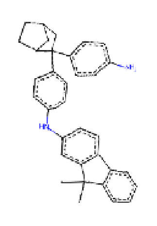 CC1(C)c2ccccc2-c2ccc(Nc3ccc(C4(c5ccc(N)cc5)CC5CCC4C5)cc3)cc21